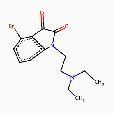 CCN(CC)CCN1C(=O)C(=O)c2c(Br)cccc21